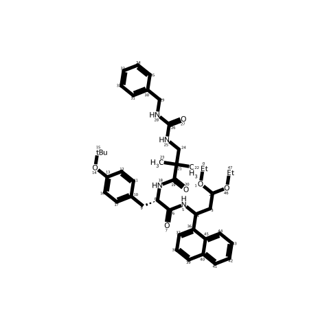 CCOC(CC(NC(=O)[C@H](Cc1ccc(OC(C)(C)C)cc1)NC(=O)C(C)(C)CNC(=O)NCc1ccccc1)c1cccc2ccccc12)OCC